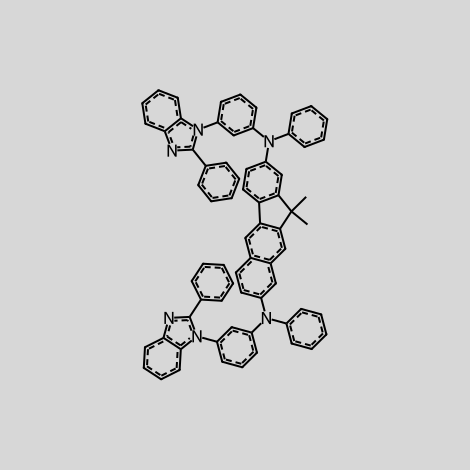 CC1(C)c2cc(N(c3ccccc3)c3cccc(-n4c(-c5ccccc5)nc5ccccc54)c3)ccc2-c2cc3ccc(N(c4ccccc4)c4cccc(-n5c(-c6ccccc6)nc6ccccc65)c4)cc3cc21